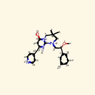 COC(CN1CC(C)(C)Cn2c1nc(-c1ccncc1)cc2=O)c1ccccc1